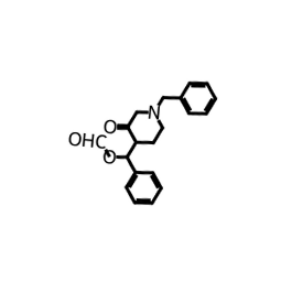 O=COC(c1ccccc1)C1CCN(Cc2ccccc2)CC1=O